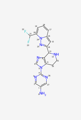 Nc1cnc(-n2cnc3c2CCNC3c2cc3cccc(C(F)F)n3n2)nc1